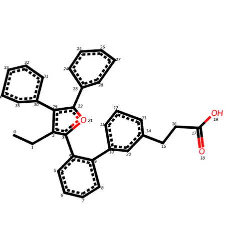 CCc1c(-c2ccccc2-c2cccc(CCC(=O)O)c2)oc(-c2ccccc2)c1-c1ccccc1